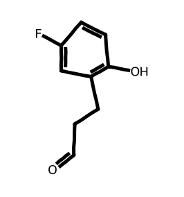 O=CCCc1cc(F)ccc1O